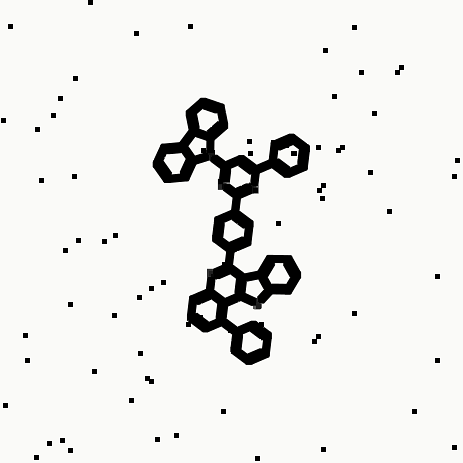 c1ccc(-c2cc(-n3c4ccccc4c4ccccc43)nc(-c3ccc(-c4nc5cccc(-c6ccccc6)c5c5sc6ccccc6c45)cc3)n2)cc1